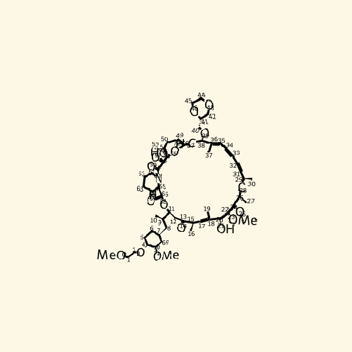 COCCO[C@@H]1CC[C@@H](C[C@@H](C)[C@@H]2CC(=O)[C@H](C)/C=C(\C)[C@@H](O)[C@@H](OC)C(=O)[C@H](C)C[C@H](C)/C=C/C=C/C=C(\C)[C@@H](OC[C@H]3COCCO3)C[C@@H]3CC[C@@H](C)[C@@](O)(O3)C(=O)C(=O)N3CCCC[C@H]3C(=O)O2)C[C@H]1OC